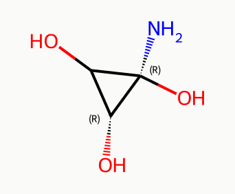 N[C@@]1(O)C(O)[C@H]1O